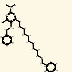 Cc1nc(N(C)C)nc(CCCCCCCCCCOCc2ccccc2)c1OCc1ccccc1